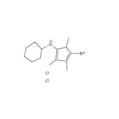 CC1=[C]([Ti+2])C(C)C(NC2CCCCC2)=C1C.[Cl-].[Cl-]